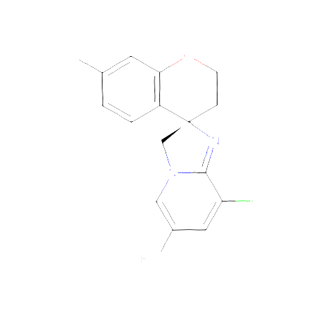 FC(F)(F)C1=CN2C[C@@]3(CCOc4cc(C(F)(F)F)ccc43)N=C2C(Cl)=C1